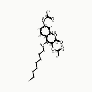 CCCCCCCCOc1c(OC(C)=O)c(=O)oc2cc(OC(C)=O)ccc12